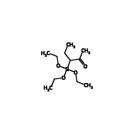 CCO[Si](OCC)(OCC)C(CC)C(C)=O